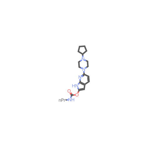 CCCNC(=O)Oc1cc2ccc(N3CCN(C4CCCC4)CC3)nc2[nH]1